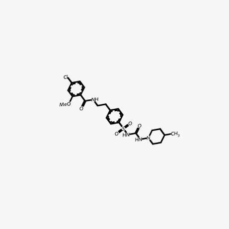 COc1cc(Cl)ccc1C(=O)NCCc1ccc(S(=O)(=O)NC(=O)NN2CCC(C)CC2)cc1